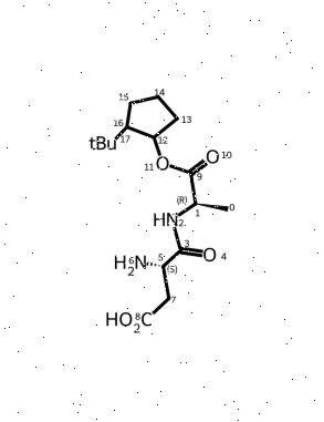 C[C@@H](NC(=O)[C@@H](N)CC(=O)O)C(=O)OC1CCCC1C(C)(C)C